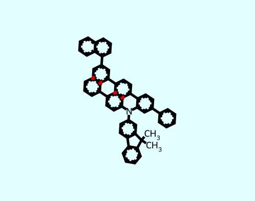 CC1(C)c2ccccc2-c2ccc(N(c3ccc(-c4ccccc4)cc3)c3cc(-c4ccccc4)ccc3-c3ccc(-c4cccc(-c5cccc6ccccc56)c4)cc3)cc21